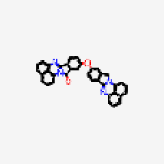 O=C1c2cc(Oc3ccc4c(c3)CN3C4=Nc4cccc5cccc3c45)ccc2C2=Nc3cccc4cccc(c34)N12